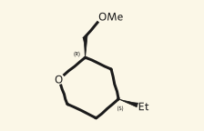 CC[C@H]1CCO[C@@H](COC)C1